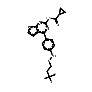 O=C(Nc1nc(-c2ccc(NSCCC(F)(F)F)cc2)c2cc[nH]c2n1)C1CC1